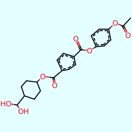 CC(=O)Oc1ccc(OC(=O)c2ccc(C(=O)OC3CCC(C(O)O)CC3)cc2)cc1